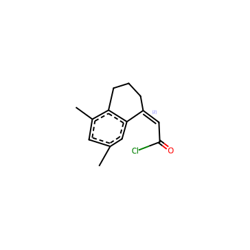 Cc1cc(C)c2c(c1)/C(=C\C(=O)Cl)CCC2